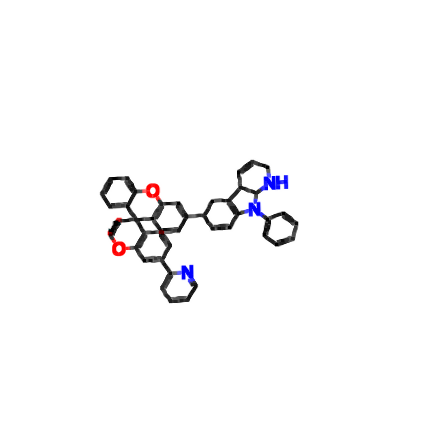 C1=CC2C3=C(C=CC(c4ccc5c(c4)Oc4ccccc4C54c5ccccc5Oc5cc(-c6ccccn6)ccc54)C3)N(c3ccccc3)C2NC1